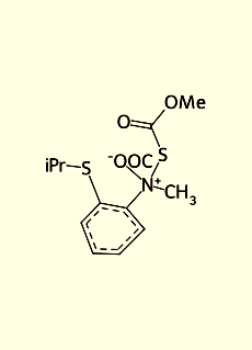 COC(=O)S[N+](C)(C(=O)[O-])c1ccccc1SC(C)C